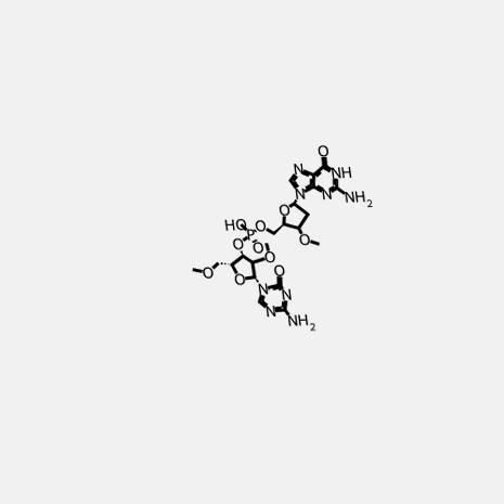 COC[C@H]1O[C@@H](n2cnc(N)nc2=O)C(OC)[C@H]1OP(=O)(O)OC[C@H]1O[C@@H](n2cnc3c(=O)[nH]c(N)nc32)CC1OC